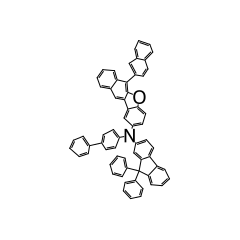 c1ccc(-c2ccc(N(c3ccc4c(c3)C(c3ccccc3)(c3ccccc3)c3ccccc3-4)c3ccc4oc5c(-c6ccc7ccccc7c6)c6ccccc6cc5c4c3)cc2)cc1